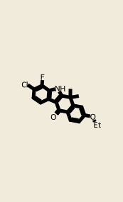 CCOc1ccc2c(c1)C(C)(C)c1[nH]c3c(F)c(Cl)ccc3c1C2=O